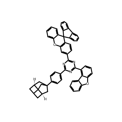 c1ccc2c(c1)Oc1cc(-c3nc(-c4ccc(C56C[C@H]7CC8C[C@@H](C5)C87C6)cc4)nc(-c4cccc5oc6ccccc6c45)n3)ccc1C21c2ccccc2-c2ccccc21